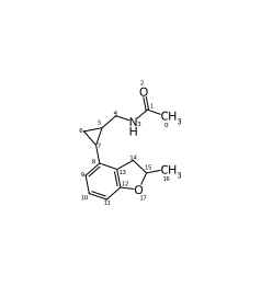 CC(=O)NCC1CC1c1cccc2c1CC(C)O2